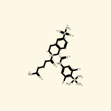 CS(C)(C)c1c(F)cc(NC(=O)[C@H]2c3ccc(S(C)(=O)=O)cc3CCN2C(=O)CCCC(=O)O)cc1F